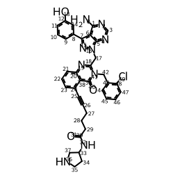 Nc1ncnc2c1c(-c1cccc(O)c1)nn2Cc1nc2cccc(C#CCCCC(=O)NC3CCNC3)c2c(=O)n1Cc1ccccc1Cl